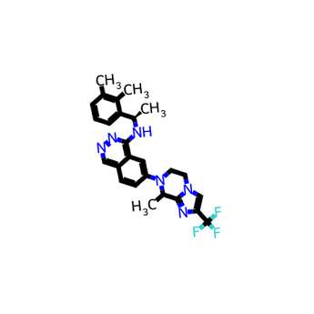 Cc1cccc([C@@H](C)Nc2nncc3ccc(N4CCn5cc(C(F)(F)F)nc5C4C)cc23)c1C